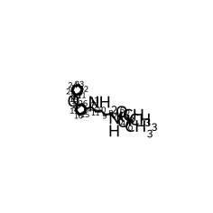 CC(C)(C)OC(=O)NCCCC[C@H](N)c1cccc(Oc2ccccc2)c1